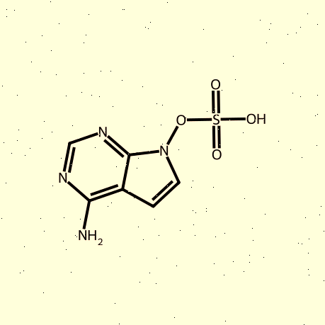 Nc1ncnc2c1ccn2OS(=O)(=O)O